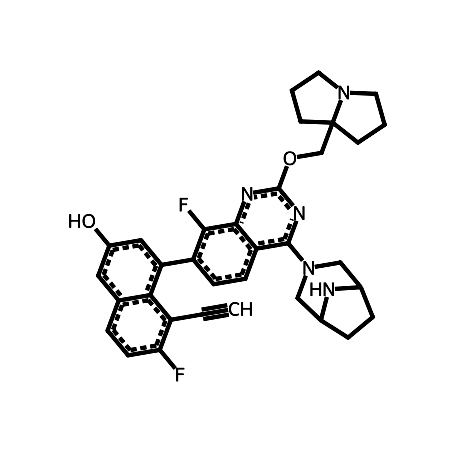 C#Cc1c(F)ccc2cc(O)cc(-c3ccc4c(N5CC6CCC(C5)N6)nc(OCC56CCCN5CCC6)nc4c3F)c12